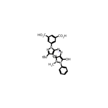 Cn1c(=O)c(/N=N\c2c(C#N)c(C(C)(C)C)nn2-c2cc(C(=O)O)cc(C(=O)O)c2)c(O)n1-c1ccccc1